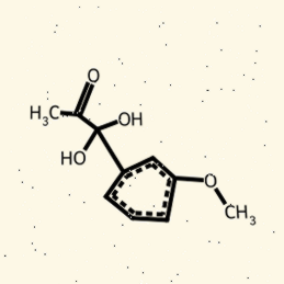 COc1cccc(C(O)(O)C(C)=O)c1